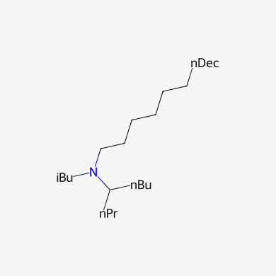 CCCCCCCCCCCCCCCCN(C(C)CC)C(CCC)CCCC